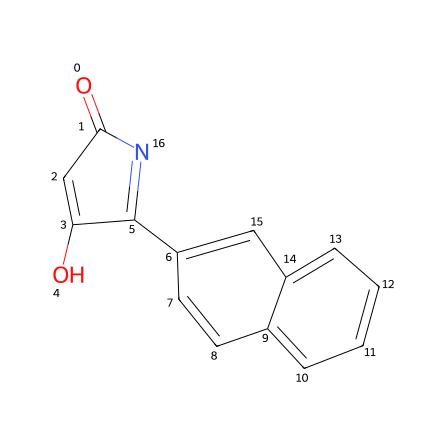 O=C1C=C(O)C(c2ccc3ccccc3c2)=N1